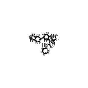 O=C(Nc1ccccn1)N1c2nc(-c3ccc4nonc4c3)ccc2N2CC[C@H]1C2